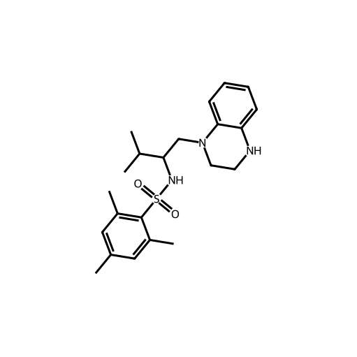 Cc1cc(C)c(S(=O)(=O)NC(CN2CCNc3ccccc32)C(C)C)c(C)c1